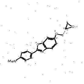 CNc1ccc(-c2nc3ccc(OC[C@@H]4CO4)cc3o2)cc1